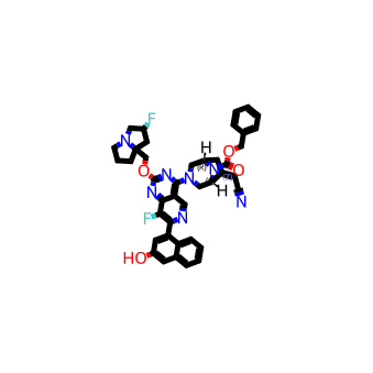 N#C/C=C1/C[C@@H]2CN(c3nc(OCC45CCCN4CC(F)C5)nc4c(F)c(-c5cc(O)cc6ccccc56)ncc34)C[C@H]1N2C(=O)OCc1ccccc1